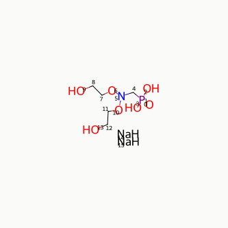 O=P(O)(O)CN(OCCO)OCCO.[NaH].[NaH]